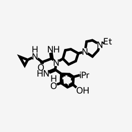 CCN1CCN(C2CCC(N(C(=N)C(=O)NC3CC3)C(=N)c3cc(C(C)C)c(O)cc3O)CC2)CC1